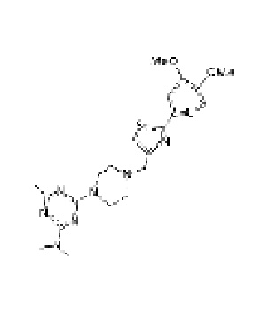 COc1ccc(-c2nc(CN3CCN(c4nc(C)nc(N(C)C)n4)CC3)cs2)cc1OC